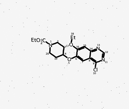 CCOC(=O)N1CCC(Oc2cc3c(Cl)ncnc3cc2OCC)CC1